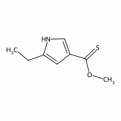 CCc1cc(C(=S)OC)c[nH]1